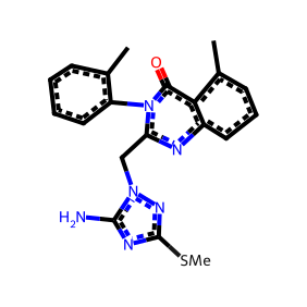 CSc1nc(N)n(Cc2nc3cccc(C)c3c(=O)n2-c2ccccc2C)n1